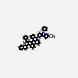 N#Cc1ccc2c3cc(-c4c5ccccc5c(-c5cc6c(-c7ccccc7)nc7c8ccccc8ccc7c6c6ccccc56)c5ccccc45)ccc3n(-c3ccccc3)c2c1